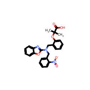 CC(C)(Oc1ccccc1CN(Cc1ccccc1[N+](=O)[O-])c1nc2ccccc2o1)C(=O)O